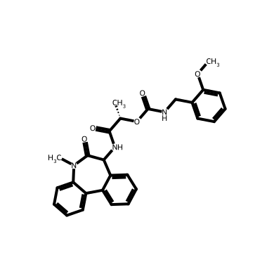 COc1ccccc1CNC(=O)O[C@@H](C)C(=O)NC1C(=O)N(C)c2ccccc2-c2ccccc21